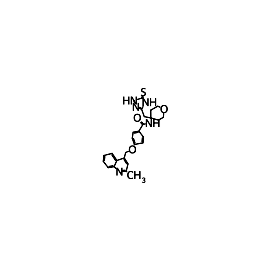 Cc1cc(COc2ccc(C(=O)NC3(Cc4n[nH]c(=S)[nH]4)CCOCC3)cc2)c2ccccc2n1